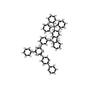 c1ccc(-c2ccc(-c3nc(-c4ccccc4)nc(-c4cccc(-n5c6ccccc6c6cc7c(cc65)C(c5ccccc5)(c5ccccc5)c5ccccc5-7)c4)n3)cc2)cc1